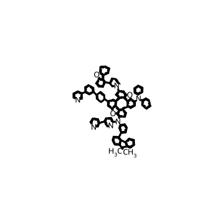 CC1(C)c2ccccc2-c2c(-c3cccc(N(c4ccc(-c5cccnc5)cn4)c4ccc5c6ccc(N(c7ccccc7)c7ccccc7)c7oc8cc(N9C=CC=C(c%10cccc%11oc%12ccccc%12c%10%11)C9)cc(c9cc(C%10C=CC(c%11cccc(-c%12cccnc%12)c%11)=CC%10)cc%10oc4c5c%109)c8c76)c3)cccc21